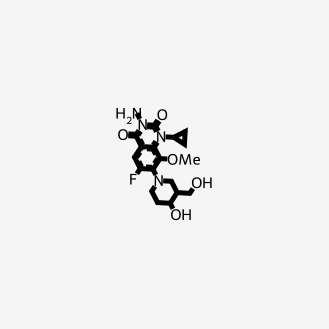 COc1c(N2CCC(O)C(CO)C2)c(F)cc2c(=O)n(N)c(=O)n(C3CC3)c12